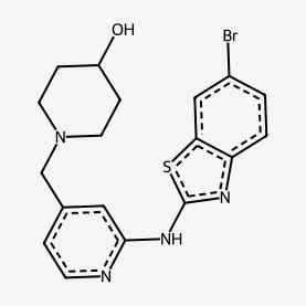 OC1CCN(Cc2ccnc(Nc3nc4ccc(Br)cc4s3)c2)CC1